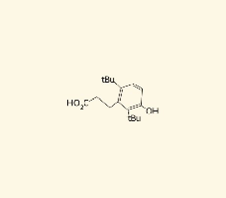 CC(C)(C)c1ccc(O)c(C(C)(C)C)c1CCC(=O)O